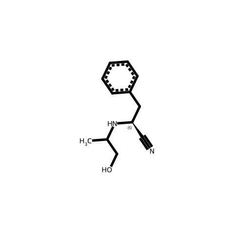 CC(CO)N[C@H](C#N)Cc1ccccc1